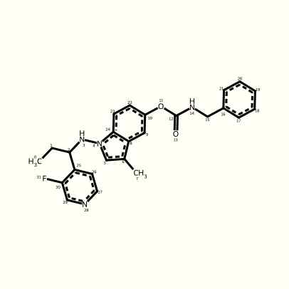 CCC(Nn1cc(C)c2cc(OC(=O)NCc3ccccc3)ccc21)c1ccncc1F